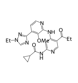 CCC(=O)c1cnc(NC(=O)C2CC2)cc1Nc1nccc(-c2ncn(CC)n2)c1OC